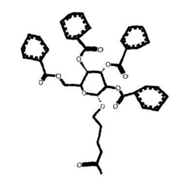 CC(=O)CCCCO[C@@H]1OC(COC(=O)c2ccccc2)[C@@H](OC(=O)c2ccccc2)[C@H](OC(=O)c2ccccc2)C1OC(=O)c1ccccc1